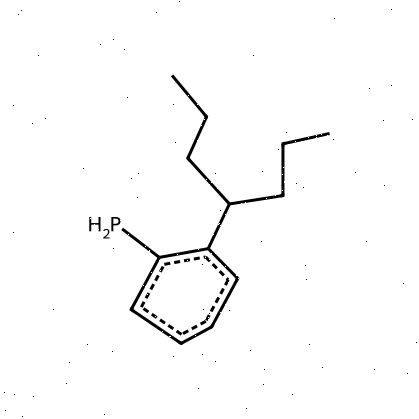 CCCC(CCC)c1ccccc1P